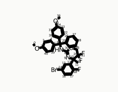 COc1ccc(C(NC2=NC(C)(c3cc(Br)ccc3F)C(F)(F)CO2)(c2ccccc2)c2ccc(OC)cc2)cc1